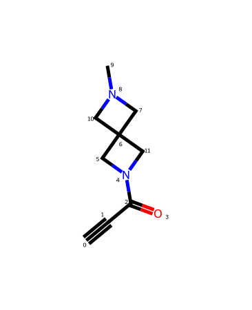 C#CC(=O)N1CC2(CN(C)C2)C1